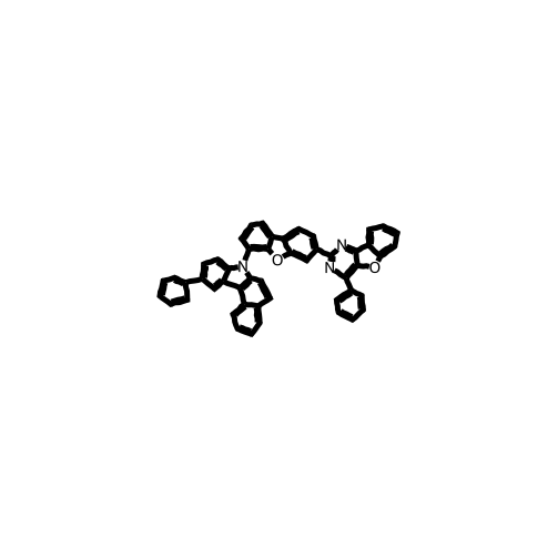 c1ccc(-c2ccc3c(c2)c2c4ccccc4ccc2n3-c2cccc3c2oc2cc(-c4nc(-c5ccccc5)c5oc6ccccc6c5n4)ccc23)cc1